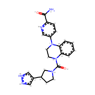 NC(=O)c1ccc(N2CCN(C(=O)N3CCC(c4cn[nH]c4)C3)c3ccccc32)cn1